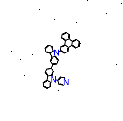 c1ccc2c(c1)c1ccccc1c1cc(-n3c4ccccc4c4cc(-c5ccc6c7ccccc7n(-c7ccncc7)c6c5)ccc43)ccc21